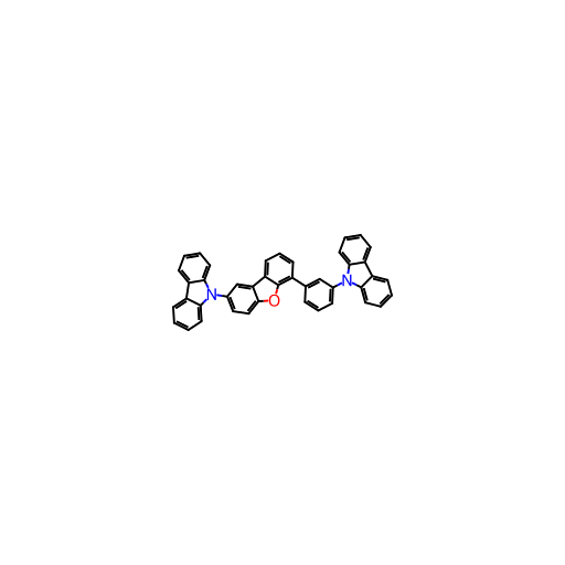 c1cc(-c2cccc3c2oc2ccc(-n4c5ccccc5c5ccccc54)cc23)cc(-n2c3ccccc3c3ccccc32)c1